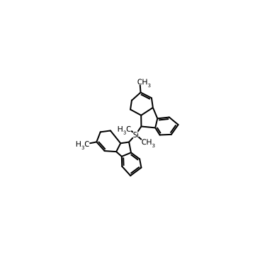 CC1=CC2c3ccccc3C([Si](C)(C)C3c4ccccc4C4C=C(C)CCC43)C2CC1